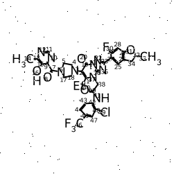 CCc1c(N2CCN(C(=O)c3ncnc(C)c3O)CC2)c(=O)n2nc(-c3cc4c(cc3F)O[C@@H](C)C4)nc2n1CC(=O)Nc1ccc(C(F)(F)F)cc1Cl